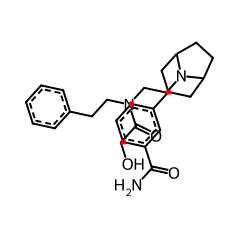 NC(=O)c1cccc(C2CC3CCC(C2)N3CCN(CCc2ccccc2)C(=O)CO)c1